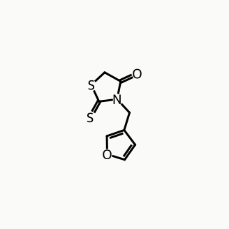 O=C1CSC(=S)N1Cc1ccoc1